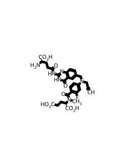 C#CCN(Cc1ccc2nc(NC(=O)CC[C@H](N)C(=O)O)[nH]c(=O)c2c1)c1ccc(C(=O)N(C)[C@@H](CCC(=O)O)C(=O)O)c(F)c1